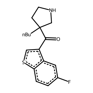 CCCCC1(C(=O)c2csc3ccc(F)cc23)CCNC1